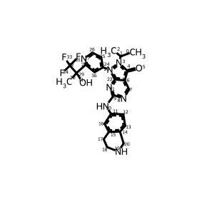 CC(C)n1c(=O)c2cnc(Nc3ccc4c(c3)CCNC4)nc2n1-c1ccnc(C(C)(O)C(F)(F)F)c1